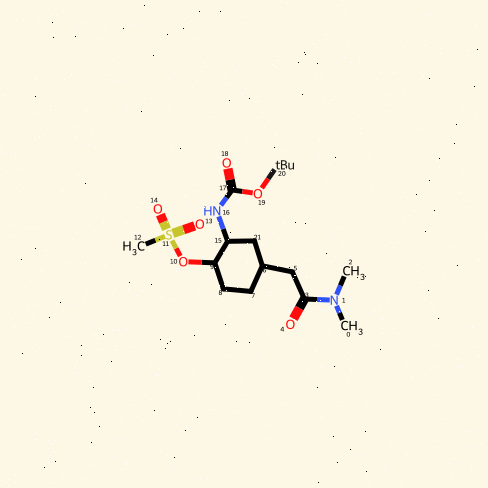 CN(C)C(=O)CC1CCC(OS(C)(=O)=O)C(NC(=O)OC(C)(C)C)C1